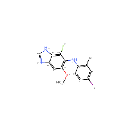 Cc1cc(I)ccc1Nc1c(OC(=O)O)cc2nc[nH]c2c1F